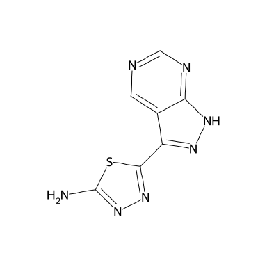 Nc1nnc(-c2n[nH]c3ncncc23)s1